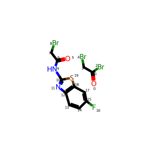 O=C(Br)CBr.O=C(CBr)Nc1nc2ccc(F)cc2s1